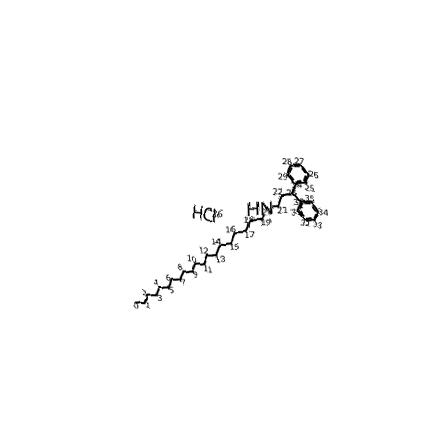 CCCCCCCCCCCCCCCCCCCCNCCC(c1ccccc1)c1ccccc1.Cl